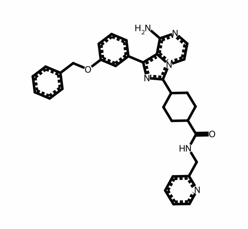 Nc1nccn2c(C3CCC(C(=O)NCc4ccccn4)CC3)nc(-c3cccc(OCc4ccccc4)c3)c12